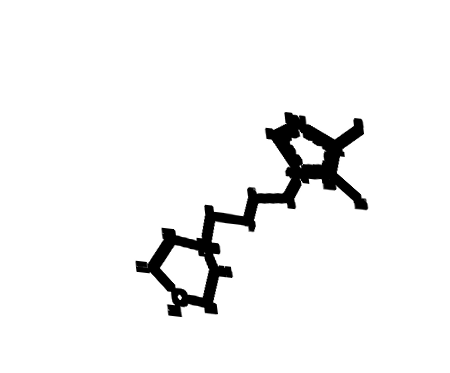 Cc1n[c]n(CCCCN2CCOCC2)c1C